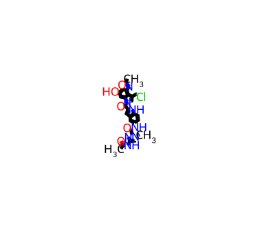 CC(=O)Nc1cn(C)c(C(=O)Nc2ccc3[nH]c(C(=O)N4CC(CCl)c5c4cc(O)c4oc(C)nc54)cc3c2)n1